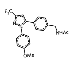 COc1ccc(-n2nc(C(F)(F)F)cc2-c2ccc(CNC(C)=O)cc2)cc1